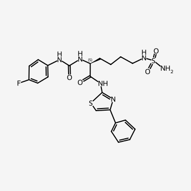 NS(=O)(=O)NCCCC[C@H](NC(=O)Nc1ccc(F)cc1)C(=O)Nc1nc(-c2ccccc2)cs1